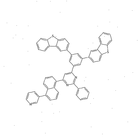 c1ccc(-c2nc(-c3cc(-c4ccc5sc6ccccc6c5c4)cc(-c4ccc5sc6ccccc6c5c4)c3)cc(-c3cccc4c(-c5cccnc5)cccc34)n2)cc1